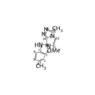 COc1cc(C)ccc1Nc1nccn2c(C)nnc12